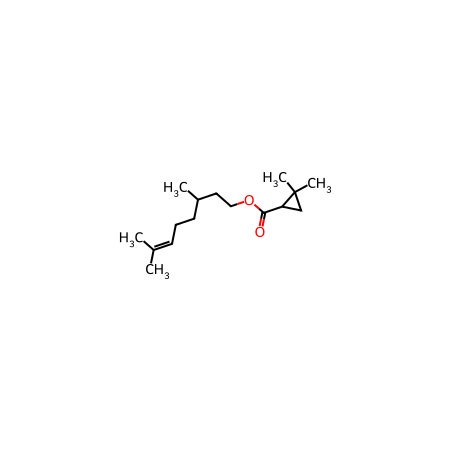 CC(C)=CCCC(C)CCOC(=O)C1CC1(C)C